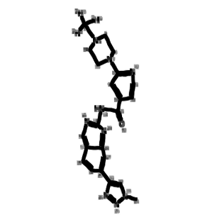 [2H]C([2H])([2H])N1CCN(c2cc(C(=O)Nc3ncc4ccc(-c5cn(C)nn5)cc4n3)ccn2)CC1